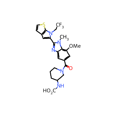 COc1cc(C(=O)N2CCCC(NC(=O)O)C2)cc2nc(-c3cc4ccsc4n3CC(F)(F)F)n(C)c12